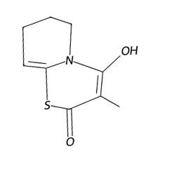 CC1=C(O)N2CCCC=C2SC1=O